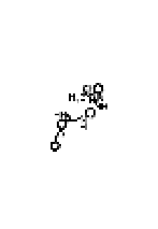 CN(C)c1nc(N[C@H]2CC[C@@H](NCCc3c[nH]c4ccc(OCc5ccccc5)cc34)CC2)nc2ccccc12